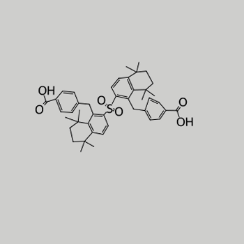 CC1(C)CCC(C)(C)c2c1ccc(S(=O)(=O)c1ccc3c(c1Cc1ccc(C(=O)O)cc1)C(C)(C)CCC3(C)C)c2Cc1ccc(C(=O)O)cc1